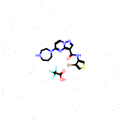 O=C(Nc1cscc1Br)c1cnn2ccc(N3CCCNCC3)nc12.O=C(O)C(F)(F)F